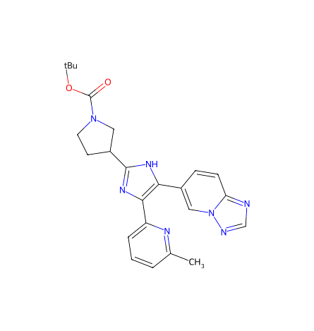 Cc1cccc(-c2nc(C3CCN(C(=O)OC(C)(C)C)C3)[nH]c2-c2ccc3ncnn3c2)n1